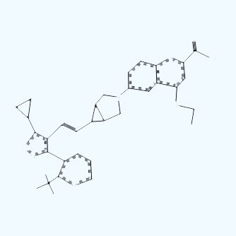 CCOc1cc(C(=O)O)nc2ccc(N3CC4C(C=Cc5c(-c6cccnc6C(F)(F)F)noc5C5CC5)C4C3)cc12